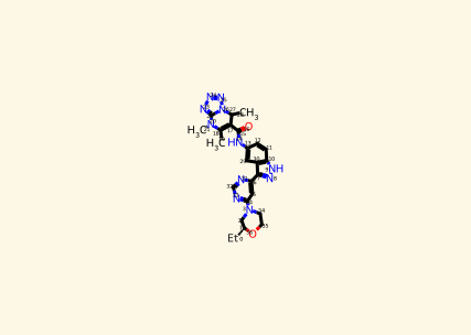 CC[C@H]1CN(c2cc(-c3n[nH]c4ccc(NC(=O)C5=C(C)N(C)c6nnnn6C5C)cc34)ncn2)CCO1